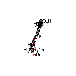 CCCCCCCCCCCCCCCCOCC(C[N+](C)(C)CCCNC(=O)CCC(=O)NCCOCCOCCOCCOCCOCCOCCOCCOCCOCCOCCOCCOCCC(=O)NCCC1(C(=O)N[C@H](CC(=O)O)Cc2ccc(NC(=O)c3c(Cl)cccc3Cl)cc2)CCCC1)OCCCCCCCCCCCCCCCC.[Br-]